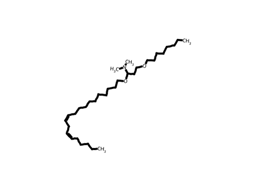 CCCCC/C=C\C/C=C\CCCCCCCCCCOC(CCOCCCCCCCC)N(C)C